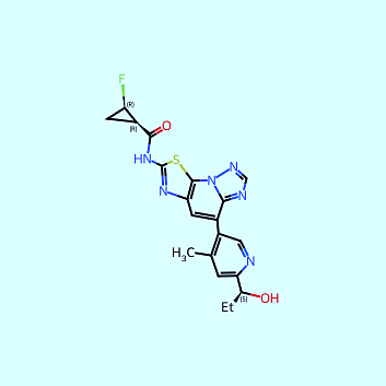 CC[C@H](O)c1cc(C)c(-c2cc3nc(NC(=O)[C@H]4C[C@H]4F)sc3n3ncnc23)cn1